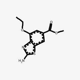 CCOc1cc(C(=O)OC)cc2sc(N)nc12